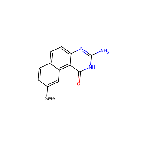 CSc1ccc2ccc3nc(N)[nH]c(=O)c3c2c1